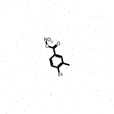 CCc1ccc(C(=O)O[N+](=O)[O-])cc1C